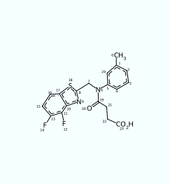 Cc1cccc(N(Cc2nc3c(F)c(F)ccc3s2)C(=O)CCC(=O)O)c1